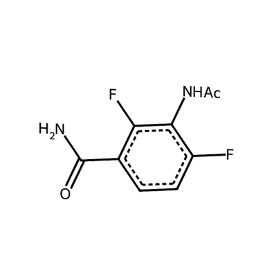 CC(=O)Nc1c(F)ccc(C(N)=O)c1F